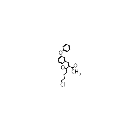 CC(=O)C(=Cc1cccc(Oc2ccccc2)c1)C(=O)CCCCCl